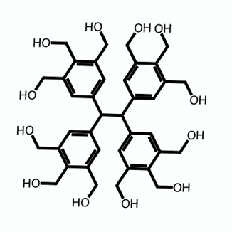 OCc1cc(C(c2cc(CO)c(CO)c(CO)c2)C(c2cc(CO)c(CO)c(CO)c2)c2cc(CO)c(CO)c(CO)c2)cc(CO)c1CO